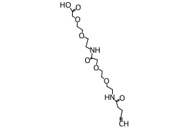 C#CCCC(=O)NCCOCCOCC(=O)NCCOCCOCC(=O)O